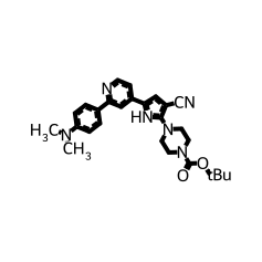 CN(C)c1ccc(-c2cc(-c3cc(C#N)c(N4CCN(C(=O)OC(C)(C)C)CC4)[nH]3)ccn2)cc1